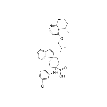 C[C@@H](COc1ccnc2c1[C@@H](C)CCC2)CC1=Cc2ccccc2C12CCC(Nc1cccc(Cl)c1)(C(=O)O)CC2